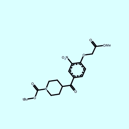 COC(=O)COc1ccc(C(=O)C2CCN(C(=O)OC(C)(C)C)CC2)cc1[N+](=O)[O-]